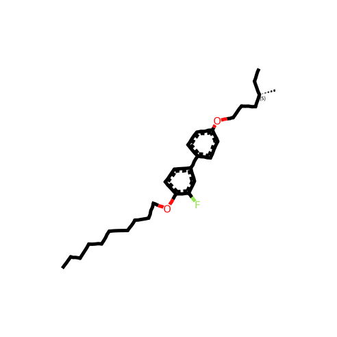 CCCCCCCCCCOc1ccc(-c2ccc(OCCC[C@@H](C)CC)cc2)cc1F